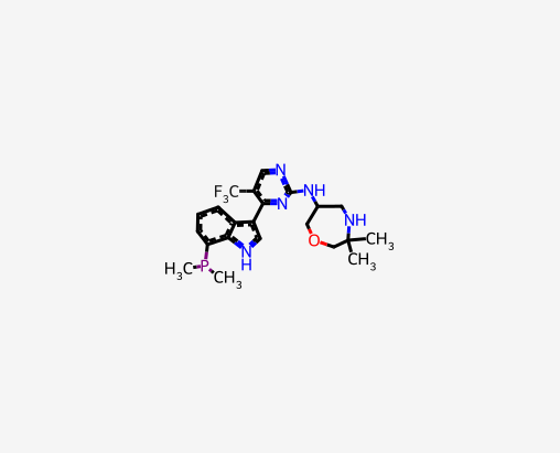 CP(C)c1cccc2c(-c3nc(NC4CNC(C)(C)COC4)ncc3C(F)(F)F)c[nH]c12